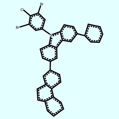 Clc1c(Br)cc(-n2c3ccc(-c4ccccc4)cc3c3cc(-c4ccc5c(ccc6ccccc65)c4)ccc32)cc1Br